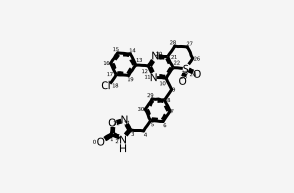 O=c1[nH]c(Cc2ccc(Cc3nc(-c4cccc(Cl)c4)nc4c3S(=O)(=O)CCC4)cc2)no1